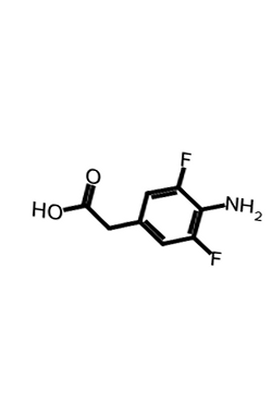 Nc1c(F)cc(CC(=O)O)cc1F